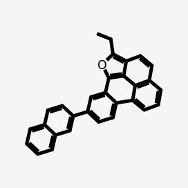 CCc1oc2c3cc(-c4ccc5ccccc5c4)ccc3c3cccc4ccc1c2c43